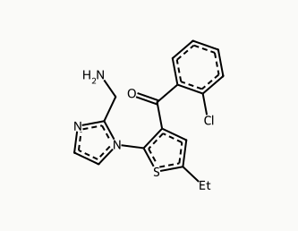 CCc1cc(C(=O)c2ccccc2Cl)c(-n2ccnc2CN)s1